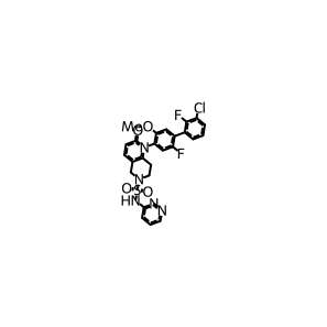 COc1cc(-c2cccc(Cl)c2F)c(F)cc1-n1c2c(ccc1=O)CN(S(=O)(=O)Nc1cccnn1)CC2